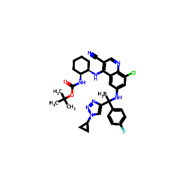 BC(Nc1cc(Cl)c2ncc(C#N)c(N[C@@H]3CCCC[C@@H]3NC(=O)OC(C)(C)C)c2c1)(c1ccc(F)cc1)c1cn(C2CC2)nn1